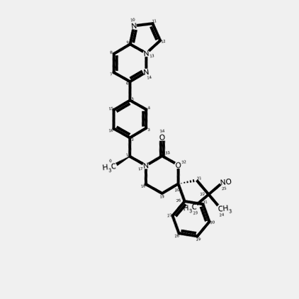 C[C@@H](c1ccc(-c2ccc3nccn3n2)cc1)N1CC[C@](CC(C)(C)N=O)(c2ccccc2)OC1=O